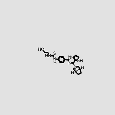 N=C(/N=C(\c1ccc[nH]1)N1C[C@@H]2CC[C@@H](C1)O2)c1ccc(NC(=S)NCCO)cc1